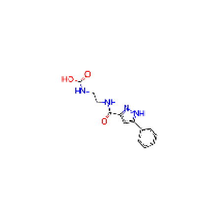 O=C(O)NCCNC(=O)c1cc(-c2ccccc2)[nH]n1